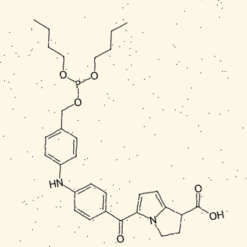 CCCCOP(OCCCC)OCc1ccc(Nc2ccc(C(=O)c3ccc4n3CCC4C(=O)O)cc2)cc1